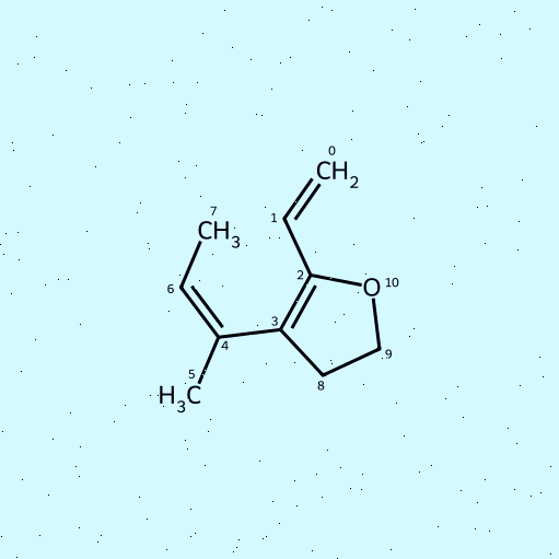 C=CC1=C(/C(C)=C\C)CCO1